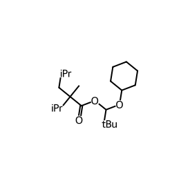 CC(C)CC(C)(C(=O)OC(OC1CCCCC1)C(C)(C)C)C(C)C